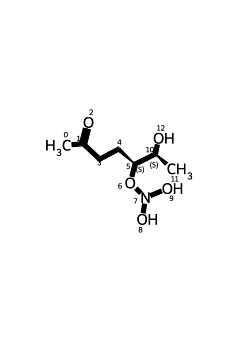 CC(=O)CC[C@H](ON(O)O)[C@H](C)O